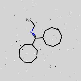 CCN=C(C1CCCCCCC1)C1CCCCCCC1